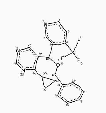 FC(F)(F)c1ccncc1C(OCc1ccccc1)c1cncnc1C1CC1